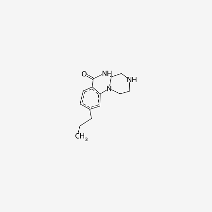 CCCc1ccc2c(c1)N1CCNCC1NC2=O